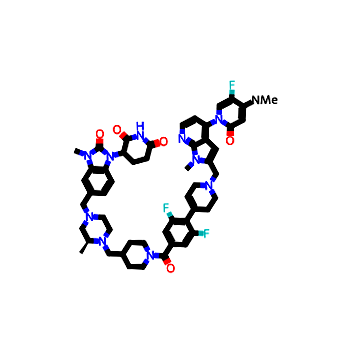 CNc1cc(=O)n(-c2ccnc3c2cc(CN2CC=C(c4c(F)cc(C(=O)N5CCC(CN6CCN(Cc7ccc8c(c7)n(C)c(=O)n8C7CCC(=O)NC7=O)C[C@@H]6C)CC5)cc4F)CC2)n3C)cc1F